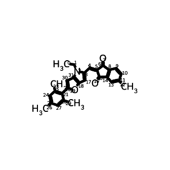 CCn1c(/C=C2/C(=O)c3ccc(C)cc3C2=O)cc2oc(-c3c(C)cc(C)cc3C)cc21